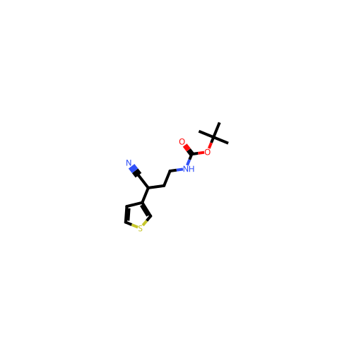 CC(C)(C)OC(=O)NCCC(C#N)c1ccsc1